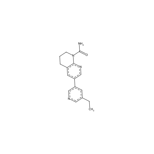 CCc1cncc(-c2cnc3c(c2)CCCN3C(N)=O)c1